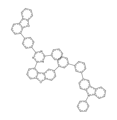 c1ccc(-c2nc(-c3ccc(-c4cccc5c4oc4ccccc45)cc3)nc(-c3cccc4oc5ccc(-c6cccc(-c7cccc(-c8ccc9c(c8)c8ccccc8n9-c8ccccc8)c7)c6)cc5c34)n2)cc1